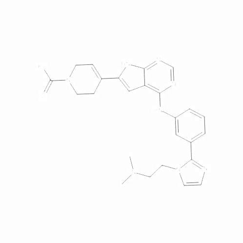 CN(C)CCn1ccnc1-c1cccc(Nc2ncnc3[nH]c(C4=CCN(C(=O)O)CC4)cc23)c1